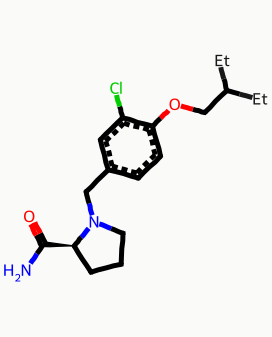 CCC(CC)COc1ccc(CN2CCC[C@H]2C(N)=O)cc1Cl